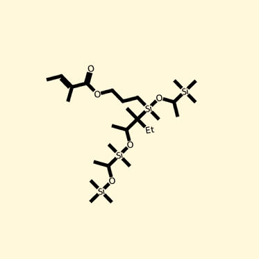 C/C=C(\C)C(=O)OCCC[Si](C)(OC(C)[Si](C)(C)C)C(C)(CC)C(C)O[Si](C)(C)C(C)O[Si](C)(C)C